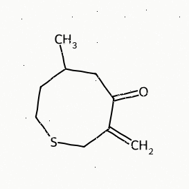 C=C1CSCCC(C)CC1=O